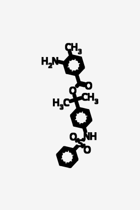 Cc1ccc(C(=O)OC(C)(C)c2ccc(NS(=O)(=O)c3ccccc3)cc2)cc1N